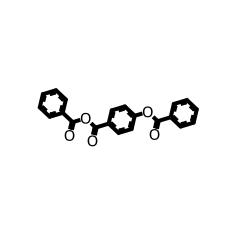 O=C(OC(=O)c1ccc(OC(=O)c2ccccc2)cc1)c1ccccc1